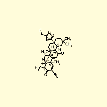 C[C@@H]1C(=O)C(C#N)=C[C@]2(C)C3=CC(=O)[C@@H]4[C@@H]5CC(C)(C)CC[C@]5(c5nc(CF)no5)CC[C@@]4(C)[C@]3(C)CC[C@@H]12